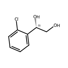 OC[C@@H](O)c1ccccc1Cl